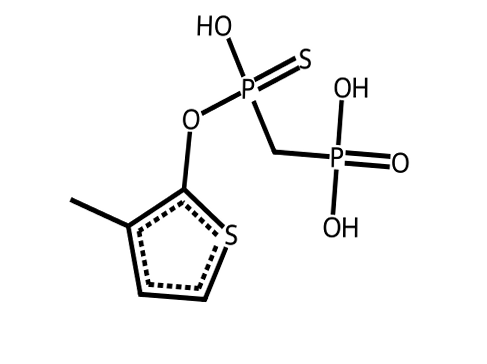 Cc1ccsc1OP(O)(=S)CP(=O)(O)O